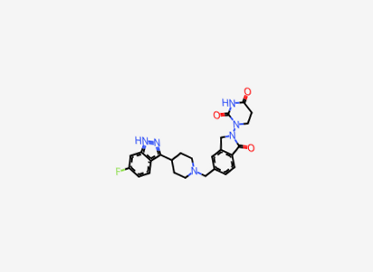 O=C1CCN(N2Cc3cc(CN4CCC(c5n[nH]c6cc(F)ccc56)CC4)ccc3C2=O)C(=O)N1